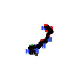 CNC(=O)c1ccccc1Nc1nc(Nc2ccc(N3CCN(C(=O)N[C@H]4CC[C@@H](NCCCOCC#Cc5cccc6c5CN(C5CCC(=O)NC5=O)C6=O)CC4)CC3)cc2)ncc1Cl